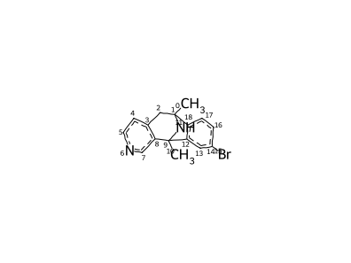 CC12Cc3ccncc3C(C)(N1)c1cc(Br)ccc12